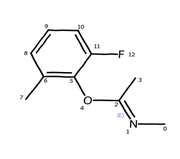 C/N=C(\C)Oc1c(C)cccc1F